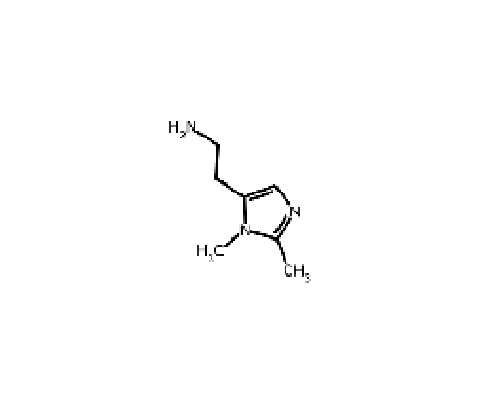 Cc1ncc(CCN)n1C